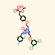 CCOC(Cc1ccc(OCCN(CCCOc2cc(Cl)cc(Cl)c2)C(=O)NCc2ccc(F)cc2F)cc1)C(=O)O